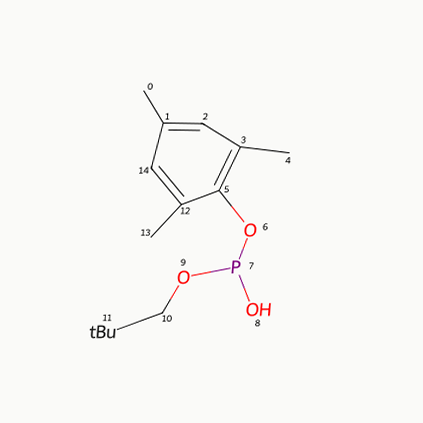 Cc1cc(C)c(OP(O)OCC(C)(C)C)c(C)c1